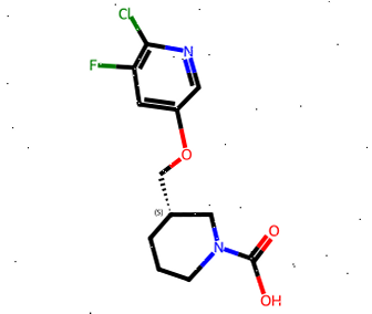 O=C(O)N1CCC[C@H](COc2cnc(Cl)c(F)c2)C1